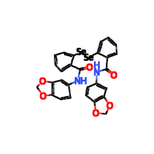 O=C(Nc1ccc2c(c1)OCO2)c1ccccc1[Se][Se]c1ccccc1C(=O)Nc1ccc2c(c1)OCO2